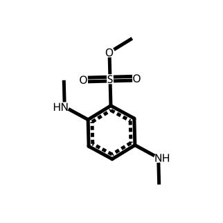 CNc1ccc(NC)c(S(=O)(=O)OC)c1